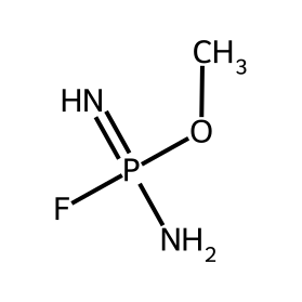 COP(=N)(N)F